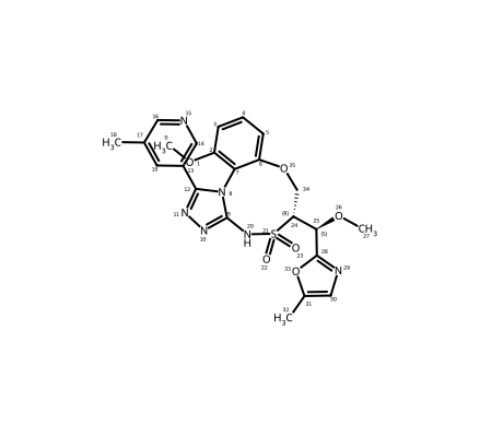 COc1cccc2c1-n1c(nnc1-c1cncc(C)c1)NS(=O)(=O)[C@@H]([C@@H](OC)c1ncc(C)o1)CO2